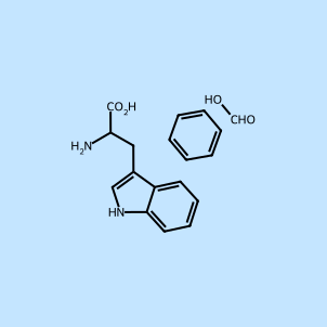 NC(Cc1c[nH]c2ccccc12)C(=O)O.O=CO.c1ccccc1